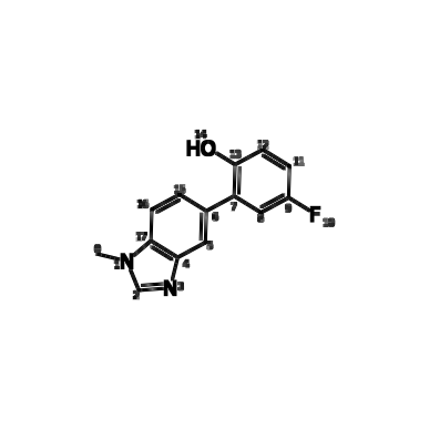 Cn1cnc2cc(-c3cc(F)ccc3O)ccc21